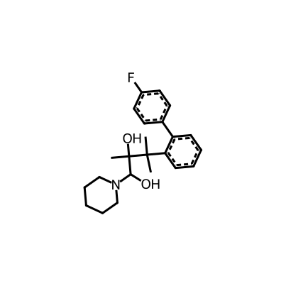 CC(C)(c1ccccc1-c1ccc(F)cc1)C(C)(O)C(O)N1CCCCC1